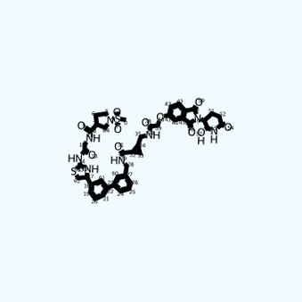 CS(=O)(=O)N1CCC(C(=O)NCC(=O)NC2NC(c3cccc(-c4cccc(CNC(=O)C5CC5CNC(=O)COc5ccc6c(c5)C(=O)N(C5CCC(=O)NC5O)C6=O)c4)c3)CS2)C1